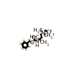 CC(C)(CC[N+](C)(C)CC(F)(F)F)NC(=O)OCc1ccccc1